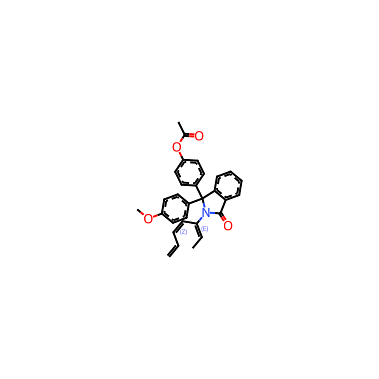 C=C/C=C\C(=C/C)N1C(=O)c2ccccc2C1(c1ccc(OC)cc1)c1ccc(OC(C)=O)cc1